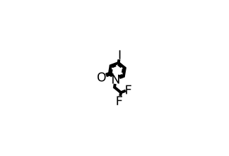 O=c1cc(I)ccn1CC(F)F